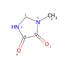 CN1CNC(=O)C1=O